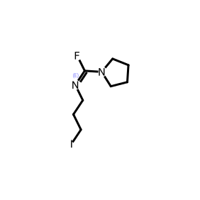 F/C(=N/CCCI)N1CCCC1